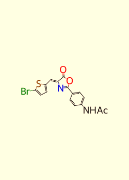 CC(=O)Nc1ccc(C2=N/C(=C\c3ccc(Br)s3)C(=O)O2)cc1